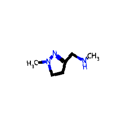 CNCC1=NN(C)CC1